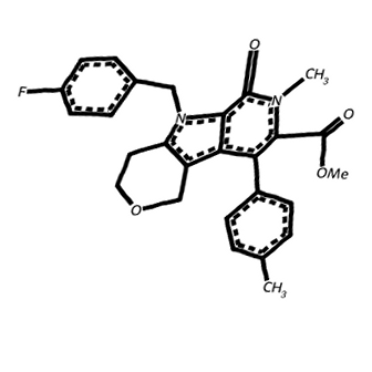 COC(=O)c1c(-c2ccc(C)cc2)c2c3c(n(Cc4ccc(F)cc4)c2c(=O)n1C)CCOC3